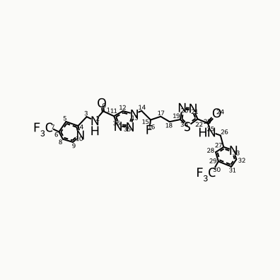 O=C(NCc1cc(C(F)(F)F)ccn1)c1cn(CC(F)CCc2nnc(C(=O)NCc3cc(C(F)(F)F)ccn3)s2)nn1